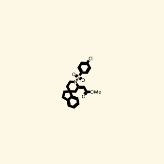 COC(=O)C=C1CC2(CCc3ccccc32)CCN1S(=O)(=O)c1ccc(Cl)cc1